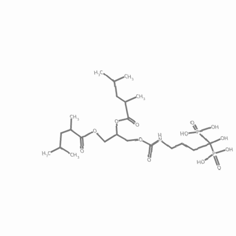 CC(C)CC(C)C(=O)OCC(COC(=O)NCCCC(O)(P(=O)(O)O)P(=O)(O)O)OC(=O)C(C)CC(C)C